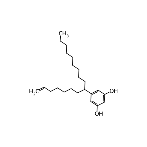 C=CCCCCCC(CCCCCCCCC)c1cc(O)cc(O)c1